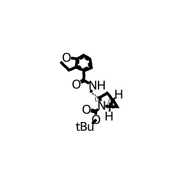 CC(C)(C)OC(=O)N1[C@H](CNC(=O)c2cccc3c2CCO3)C[C@@H]2C[C@@H]21